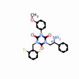 COc1cccc(-n2c(=O)n(Cc3c(F)cccc3F)c(=O)n(C[C@@H](N)c3ccccc3)c2=O)c1